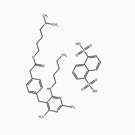 CCCCCNc1nc(N)nc(C)c1Cc1ccc(CC(=O)OCCCCN(C)C)cc1.O=S(=O)(O)c1cccc2c(S(=O)(=O)O)cccc12